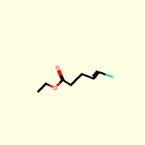 CCOC(=O)CCC=CF